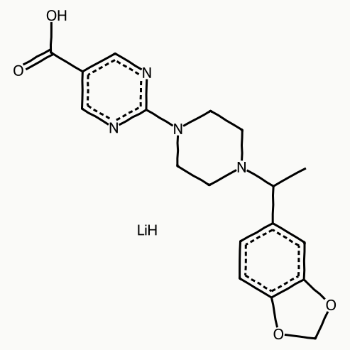 CC(c1ccc2c(c1)OCO2)N1CCN(c2ncc(C(=O)O)cn2)CC1.[LiH]